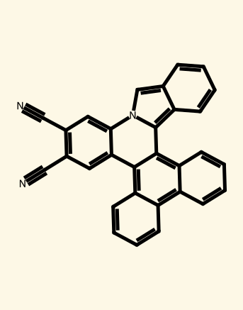 N#Cc1cc2c3c4ccccc4c4ccccc4c3c3c4ccccc4cn3c2cc1C#N